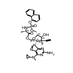 C#C[C@@]1(F)[C@H](O)[C@@H](COP(=O)(N[C@H](C)C(=O)OC(C)C)Oc2cccc3ccccc23)O[C@H]1n1cnc2c(N(C)C3CC3)nc(N)nc21